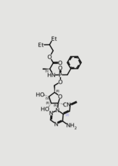 C=C/C=C1/C(N)=NC=NN1[C@]1(C#N)O[C@H](COP(=O)(Cc2ccccc2)N[C@@H](C)C(=O)OCC(CC)CC)[C@@H](O)[C@H]1O